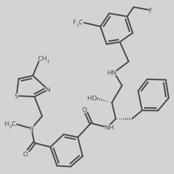 Cc1csc(CN(C)C(=O)c2cccc(C(=O)N[C@@H](Cc3ccccc3)[C@H](O)CNCc3cc(CF)cc(C(F)(F)F)c3)c2)n1